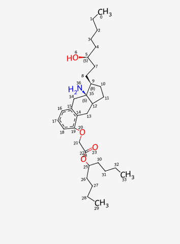 CCCCC[C@H](O)CC[C@H]1CCC2Cc3c(cccc3OCC(=O)OC(CCCC)CCCC)C[C@@]21N